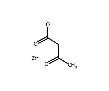 CC(=O)CC(=O)[O-].[Zr+]